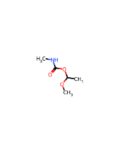 CNC(=O)OC(C)OC